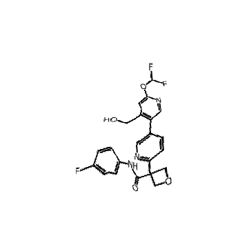 O=C(Nc1ccc(F)cc1)C1(c2ccc(-c3cnc(OC(F)F)cc3CO)cn2)COC1